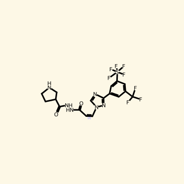 O=C(/C=C\n1cnc(-c2cc(C(F)(F)F)cc(S(F)(F)(F)(F)F)c2)n1)NNC(=O)C1CCNC1